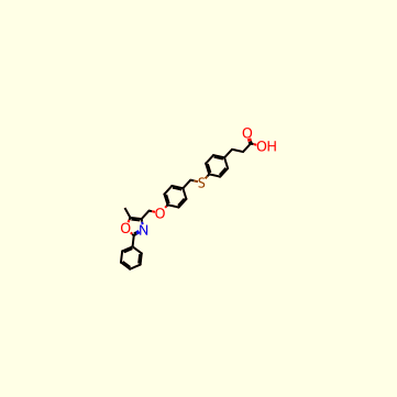 Cc1oc(-c2ccccc2)nc1COc1ccc(CSc2ccc(CCC(=O)O)cc2)cc1